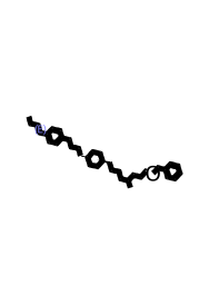 CC/C=C/c1ccc(CCCC[C@H]2CC[C@H](CCCCC(C)CCCOCc3ccccc3)CC2)cc1